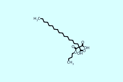 CCCCCCCCCCCCCCCCC(C(=O)O)(C(=O)O)C(=O)OCCCC